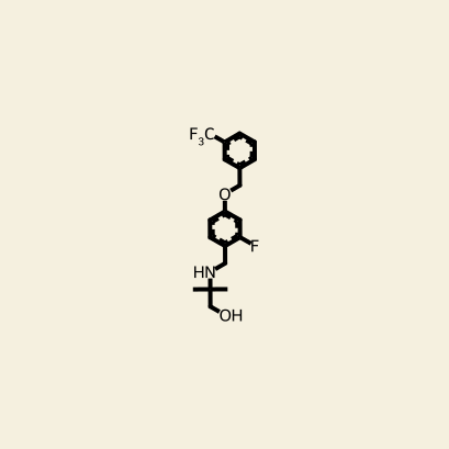 CC(C)(CO)NCc1ccc(OCc2cccc(C(F)(F)F)c2)cc1F